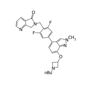 CCCCN1CC(Oc2ccc(-c3cc(F)c(CN4Cc5ncccc5C4=O)c(F)c3)c3cn(C)nc23)C1